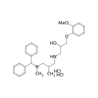 COc1ccccc1OCC(O)CNCC(C)CN(C)C(c1ccccc1)c1ccccc1.Cl.Cl